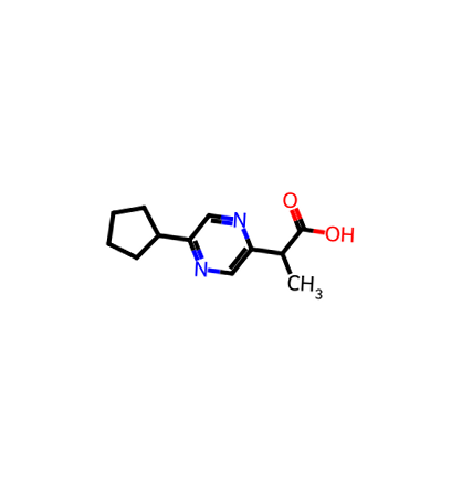 CC(C(=O)O)c1cnc(C2CCCC2)cn1